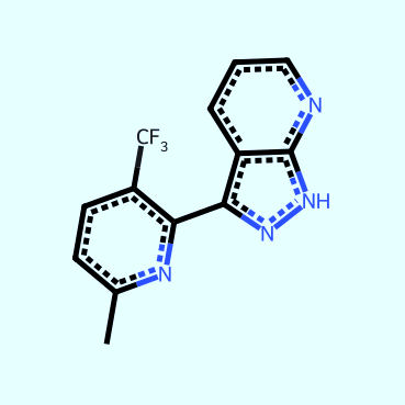 Cc1ccc(C(F)(F)F)c(-c2n[nH]c3ncccc23)n1